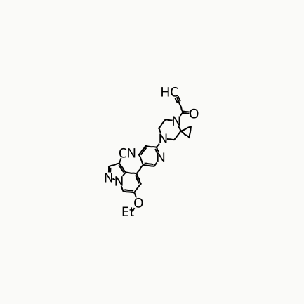 C#CC(=O)N1CCN(c2ccc(-c3cc(OCC)cn4ncc(C#N)c34)cn2)CC12CC2